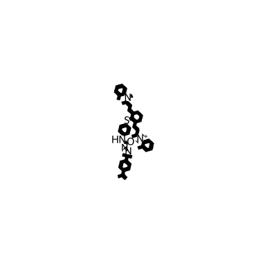 C=C(C)c1ccc(C(C)(C)N=NC(=O)Nc2ccc(SC3=C(/C=C/C(C)[N+](C)(C)c4ccccc4C)CCC/C3=C\C=C(/C)N(C)c3ccccc3C)cc2)cc1